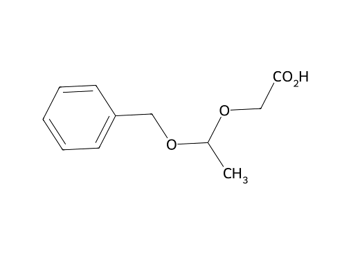 CC(OCC(=O)O)OCc1ccccc1